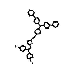 Brc1ccc(C(=Cc2ccc(C=Cc3ccc(N(c4ccc(-c5ccccc5)cc4)c4ccc(-c5ccccc5)cc4)cc3)s2)c2ccc(Br)cc2)cc1